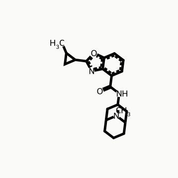 CC1CC1c1nc2c(C(=O)NC3CC4CCCC(C3)N4C)cccc2o1